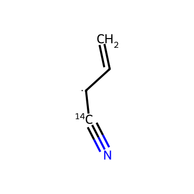 C=C[CH][14C]#N